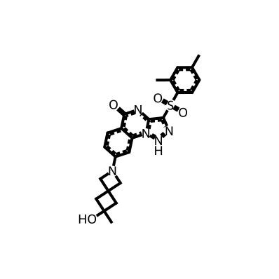 Cc1ccc(S(=O)(=O)c2n[nH]n3c2nc(=O)c2ccc(N4CC5(C4)CC(C)(O)C5)cc23)c(C)c1